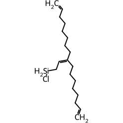 C=CCCCCCCC(=CC[SiH2]Cl)CCCCCCC=C